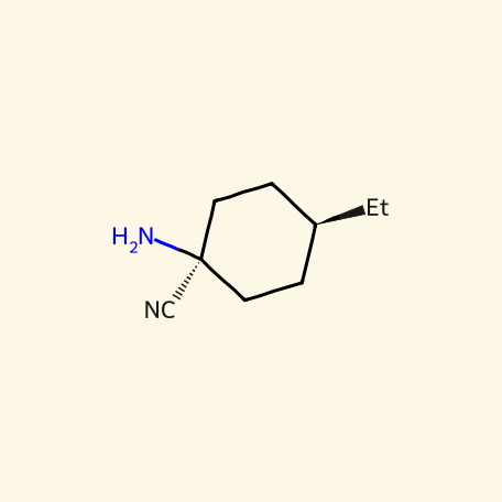 CC[C@H]1CC[C@](N)(C#N)CC1